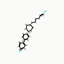 F/C=C/CCCC[C@H]1CC[C@H](c2ccc(-c3ccc(F)cc3)cc2)CC1